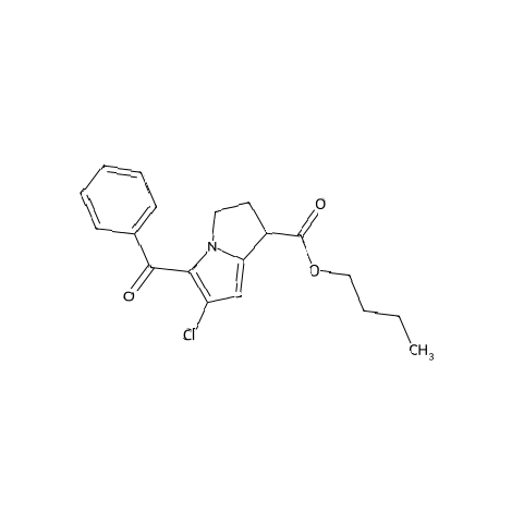 CCCCOC(=O)C1CCn2c1cc(Cl)c2C(=O)c1ccccc1